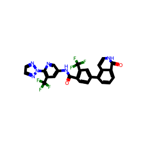 O=C(Nc1cnc(-n2nccn2)c(C(F)(F)F)c1)c1ccc(-c2cccc3c(=O)[nH]ccc23)cc1C(F)(F)F